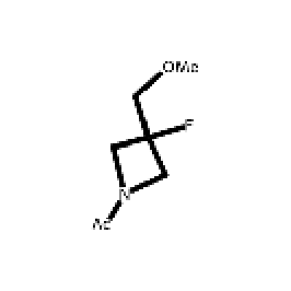 COCC1(F)CN(C(C)=O)C1